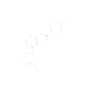 C#Cc1ccc(C(=O)Nc2ccnc([C@]3(C)C[C@@H](C)SC(N)=N3)c2)nc1